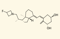 C=C1/C(=C\C=C2/CCC[C@]3(C)[C@@H]([C@H](C)CN4CC(F)C4)CC[C@@H]23)C[C@@H](O)C[C@@H]1O